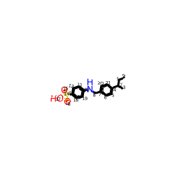 CCC(C)c1ccc(CNc2ccc(S(=O)(=O)O)cc2)cc1